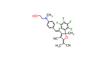 C/C(C#N)=C1/OC(C)(c2c(F)c(F)c(F)c(F)c2F)C(/C=C/c2ccc(N(C)CCO)cc2)=C1C#N